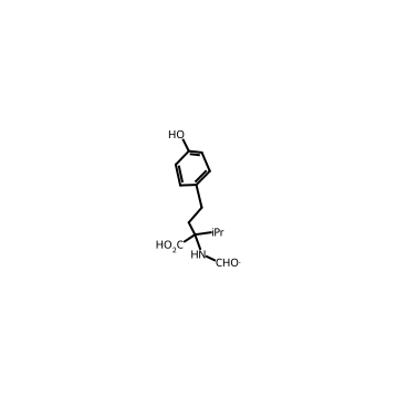 CC(C)C(CCc1ccc(O)cc1)(N[C]=O)C(=O)O